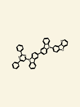 c1ccc(-c2cc(-n3c4ccccc4c4cc(-c5ccc6c(c5)c5ccccc5n6-c5ccc6oc7cccnc7c6c5)ccc43)nc(-c3ccccc3)n2)cc1